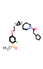 C[S+]([O-])c1ccc(OCC[C@@H]2C[C@@H]2C2CCN(C(=O)CC3CCCC3)CC2)cc1F